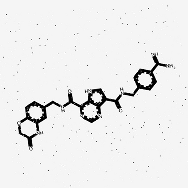 N=C(N)c1ccc(CNC(=O)c2c[nH]c3c(C(=O)NCc4ccc5c(c4)NC(=O)CO5)ncnc23)cc1